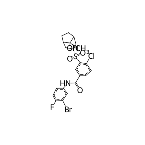 C[C@]1(O)C2CCC1C[C@@H](S(=O)(=O)c1cc(C(=O)Nc3ccc(F)c(Br)c3)ccc1Cl)C2